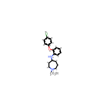 CCOC(=O)N1CCCC(Nc2ccccc2Oc2ccc(Cl)cc2)CC1